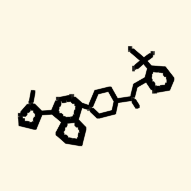 CN(Cc1ncccc1C(F)(F)F)C1CCN(c2nnc(-c3ccnn3C)c3ccccc23)CC1